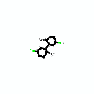 CC(=O)c1ccc(Cl)cc1-c1cc(Cl)ccc1C(C)=O